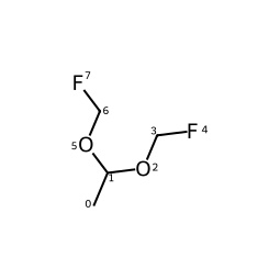 CC(OCF)OCF